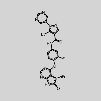 CCc1c(C(=O)Nc2ccc(Oc3ccnc4[nH]c(=O)n(C(C)C)c34)c(F)c2)cnn1-c1cncnc1